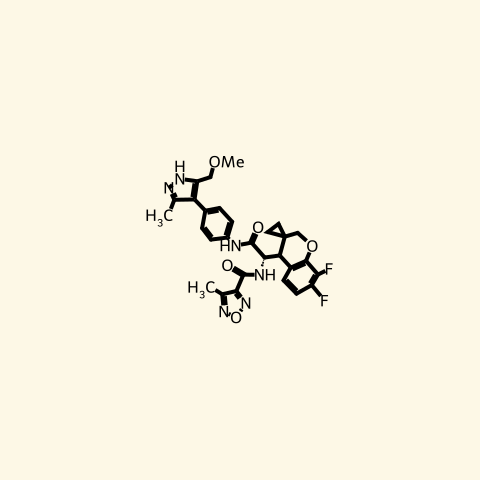 COCc1[nH]nc(C)c1-c1ccc(NC(=O)[C@@H](NC(=O)c2nonc2C)C2c3ccc(F)c(F)c3OCC23CC3)cc1